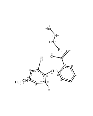 CC(C)(C)NNF.Cl.Cl.O=C(Cl)c1ccccc1.O=Cc1c(F)cccc1Cl